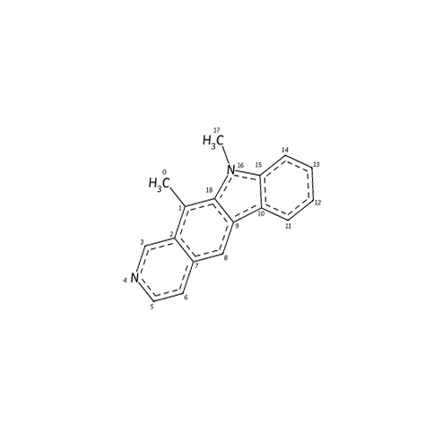 Cc1c2cnccc2cc2c3ccccc3n(C)c12